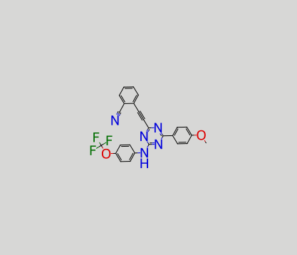 COc1ccc(-c2nc(C#Cc3ccccc3C#N)nc(Nc3ccc(OC(F)(F)F)cc3)n2)cc1